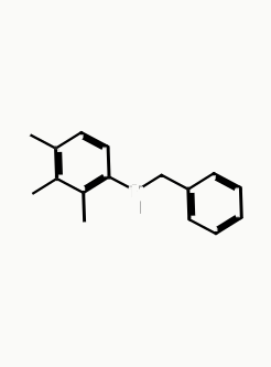 Cc1ccc(PCc2ccccc2)c(C)c1C